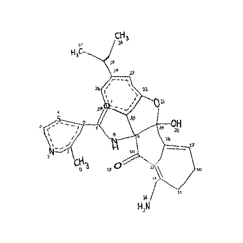 Cc1ncsc1C(=O)NC12C(=O)C3=C(N)CCC=C3C1(O)Oc1cc(C(C)C)ccc12